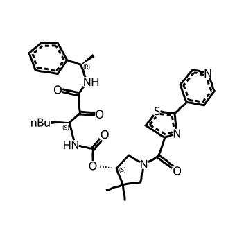 CCCC[C@H](NC(=O)O[C@@H]1CN(C(=O)c2csc(-c3ccncc3)n2)CC1(C)C)C(=O)C(=O)N[C@H](C)c1ccccc1